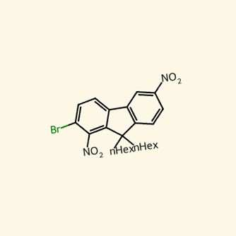 CCCCCCC1(CCCCCC)c2ccc([N+](=O)[O-])cc2-c2ccc(Br)c([N+](=O)[O-])c21